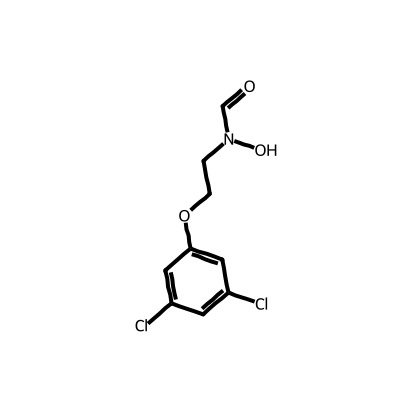 O=CN(O)CCOc1cc(Cl)cc(Cl)c1